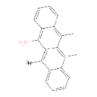 [2H]c1c2ccccc2c(C)c2c(C)c3ccccc3c(B)c12